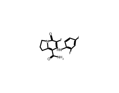 NC(=O)c1c(Nc2ccc(I)cc2F)c(F)c(=O)n2c1CCC2